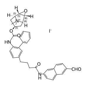 C[N+]1(C)[C@@H]2C[C@@H](OC(=O)Nc3ccc(CCCC(=O)Nc4ccc5cc(C=O)ccc5c4)cc3-c3ccccc3)C[C@H]1[C@@H]1O[C@@H]12.[I-]